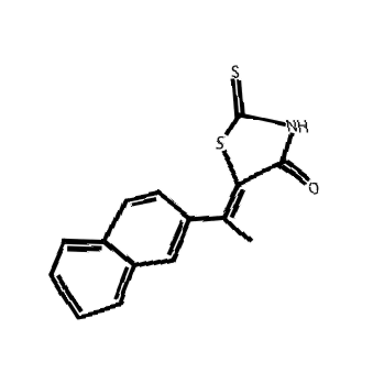 CC(=C1SC(=S)NC1=O)c1ccc2ccccc2c1